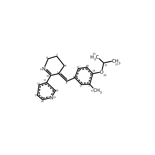 Cc1cc(/C=C2\CCCN=C2c2cccnc2)ccc1OC(C)C